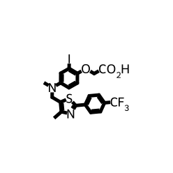 Cc1nc(-c2ccc(C(F)(F)F)cc2)sc1CN(C)c1ccc(OCC(=O)O)c(I)c1